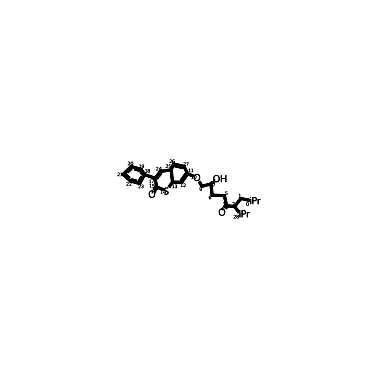 CC(C)CC(C(=O)CCC(O)COC1=CC2SC(=O)C(c3ccccc3)=CC2C=C1)C(C)C